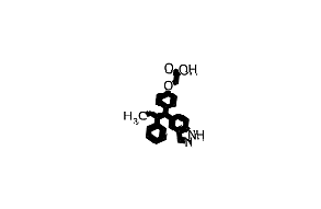 CCC(=C(c1ccc(OCC(=O)O)cc1)c1ccc2[nH]ncc2c1)c1ccccc1